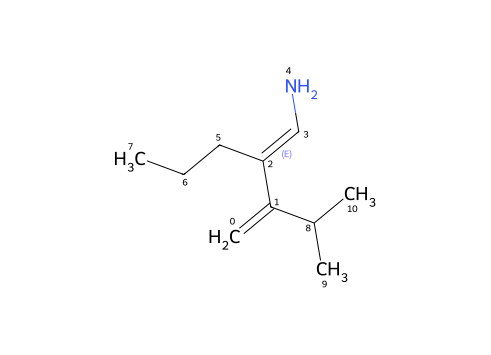 C=C(/C(=C/N)CCC)C(C)C